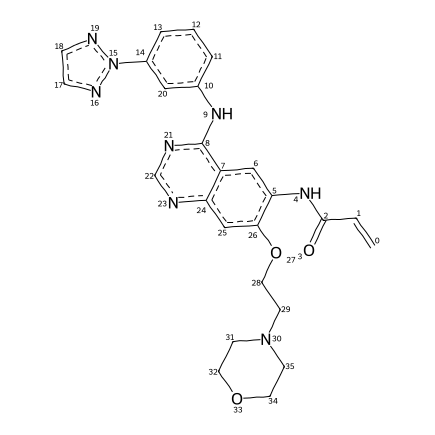 C=CC(=O)Nc1cc2c(Nc3cccc(-n4nccn4)c3)ncnc2cc1OCCN1CCOCC1